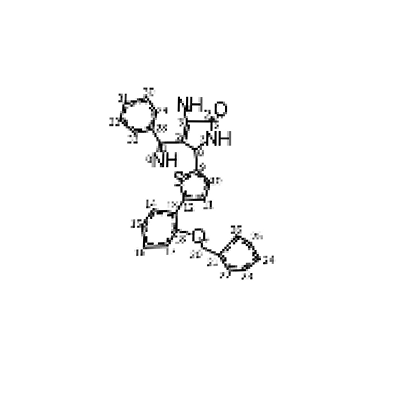 N=C(C1=C(N)C(=O)NC1c1ccc(-c2ccccc2OCc2ccccc2)s1)c1ccccc1